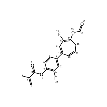 C=C(C)C(=O)Oc1ccc(C2=CC(F)=C(OC=O)CC=C2)cc1F